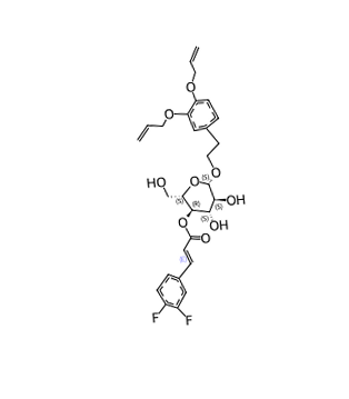 C=CCOc1ccc(CCO[C@H]2O[C@@H](CO)[C@H](OC(=O)/C=C/c3ccc(F)c(F)c3)[C@@H](O)[C@@H]2O)cc1OCC=C